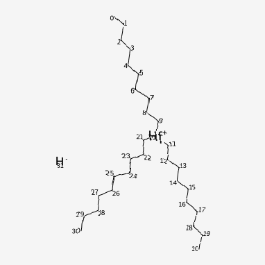 CCCCCCCCC[CH2][Hf+]([CH2]CCCCCCCCC)[CH2]CCCCCCCCC.[H-]